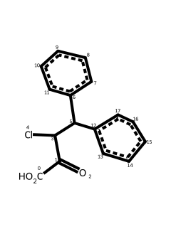 O=C(O)C(=O)C(Cl)C(c1ccccc1)c1ccccc1